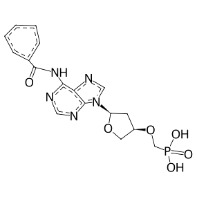 O=C(Nc1ncnc2c1ncn2[C@H]1C[C@@H](OCP(=O)(O)O)CO1)c1ccccc1